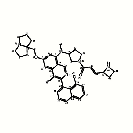 CN(c1nc(OCC23CCCN2CCC3)nc2c(F)c(-c3cccc4cccc(Cl)c34)ncc12)C1CCN(C(=O)/C=C/C2CCN2)C1